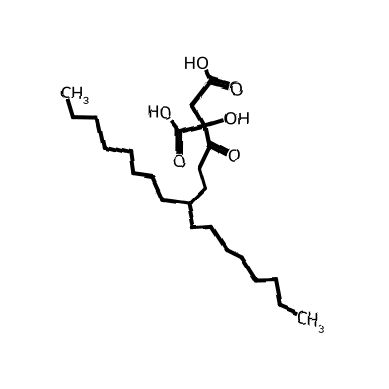 CCCCCCCCC(CCCCCCCC)CCC(=O)C(O)(CC(=O)O)C(=O)O